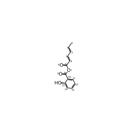 C/C=C/C=C/C(=O)OC(=O)c1ccccc1O